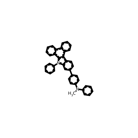 CN(c1ccccc1)c1ccc(-c2ccc3c4c5ccccc5c5ccccc5c4n(-c4ccccc4)c3c2)cc1